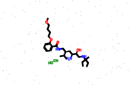 CCC(C)(CC)NC[C@H](O)[C@@H](N)C[C@H](CNC(=O)c1ccccc1OCCCCOC)C(C)C.Cl.Cl